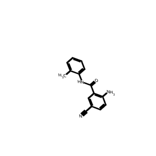 Cc1ccccc1NC(=O)c1cc(C#N)ccc1N